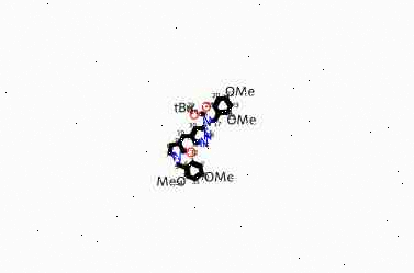 COc1ccc(CN2CCC(Cc3cnnc(N(Cc4ccc(OC)cc4OC)C(=O)OC(C)(C)C)c3)C2=O)c(OC)c1